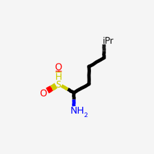 CC(C)CCCC(N)[SH](=O)=O